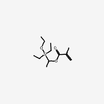 C=C(C)C(=O)OC(C)[Si](CC)(CC)OCC